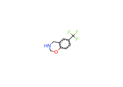 FC(F)(F)c1ccc2c(c1)CNCO2